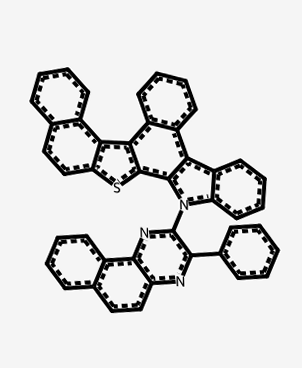 c1ccc(-c2nc3ccc4ccccc4c3nc2-n2c3ccccc3c3c4ccccc4c4c(sc5ccc6ccccc6c54)c32)cc1